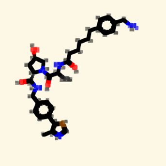 Cc1ncsc1-c1ccc(CNC(=O)[C@@H]2C[C@@H](O)CN2C(=O)C(NC(=O)CCCCCc2ccc(CN)cc2)C(C)(C)C)cc1